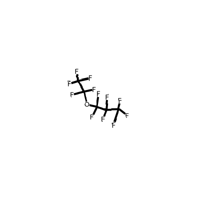 FC(F)(F)C(F)(F)OC(F)(F)C(F)(F)C(F)(F)F